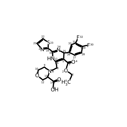 CCOC(=O)C1=C(CN2CCOCC2C(=O)O)NC(c2nccs2)=NC1c1ccc(F)c(F)c1